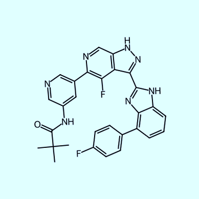 CC(C)(C)C(=O)Nc1cncc(-c2ncc3[nH]nc(-c4nc5c(-c6ccc(F)cc6)cccc5[nH]4)c3c2F)c1